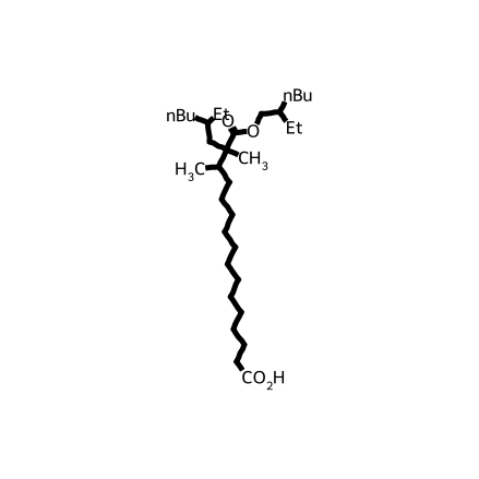 CCCCC(CC)COC(=O)C(C)(CC(CC)CCCC)C(C)CCCCCCCCCCCCC(=O)O